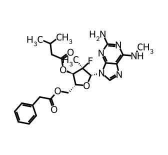 CNc1nc(N)nc2c1ncn2[C@@H]1O[C@H](COC(=O)Cc2ccccc2)[C@@H](OC(=O)CC(C)C)[C@@]1(C)F